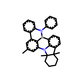 Cc1cc2c3c(c1)N1c4c(cccc4C4(C)CCCCC14C)B3N(c1ccccc1)c1ccccc1-2